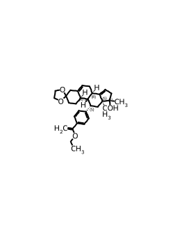 C=C(OCC)c1ccc([C@H]2C[C@@]3(C)C(=CC[C@]3(C)O)[C@@H]3CC=C4CC5(CC[C@@H]4[C@@H]23)OCCO5)cc1